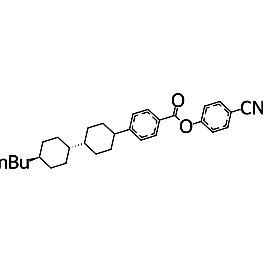 CCCC[C@H]1CC[C@H](C2CCC(c3ccc(C(=O)Oc4ccc(C#N)cc4)cc3)CC2)CC1